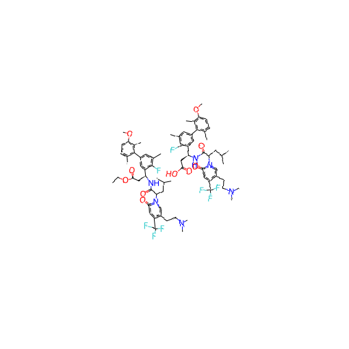 CCOC(=O)C[C@H](NC(=O)C(CC(C)C)n1cc(CCN(C)C)c(C(F)(F)F)cc1=O)c1cc(-c2c(C)ccc(OC)c2C)cc(C)c1F.COc1ccc(C)c(-c2cc(C)c(F)c([C@H](CC(=O)O)NC(=O)C(CC(C)C)n3cc(CCN(C)C)c(C(F)(F)F)cc3=O)c2)c1C